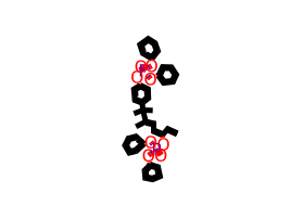 C=C/C(=C\C=C(/C)C(C)(C)c1ccc(OP(=O)(Oc2ccccc2)Oc2ccccc2)cc1)OP(=O)(Oc1ccccc1)Oc1ccccc1